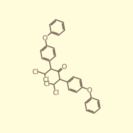 O=C(C(c1ccc(Oc2ccccc2)cc1)C(Cl)Cl)C(c1ccc(Oc2ccccc2)cc1)C(Cl)Cl